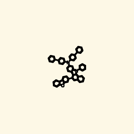 c1ccc(-c2ccc(N(c3ccc(-c4ccccc4)cc3)c3ccc4c5c(-c6ccc7c(c6)oc6ccccc67)cc6ccccc6c5n(-c5ccccc5)c4c3)cc2)cc1